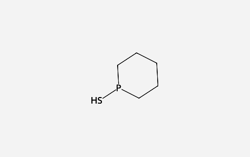 SP1CCCCC1